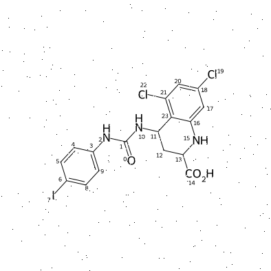 O=C(Nc1ccc(I)cc1)NC1CC(C(=O)O)Nc2cc(Cl)cc(Cl)c21